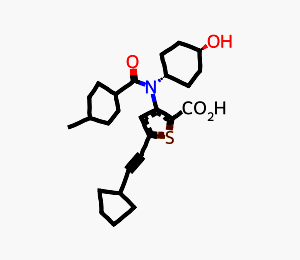 CC1CCC(C(=O)N(c2cc(C#CC3CCCC3)sc2C(=O)O)[C@H]2CC[C@H](O)CC2)CC1